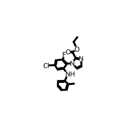 CCOC(=O)c1nccn1-c1c(F)cc(Cl)cc1Nc1ccccc1C